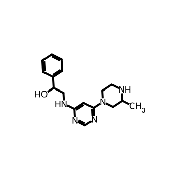 CC1CN(c2cc(NCC(O)c3ccccc3)ncn2)CCN1